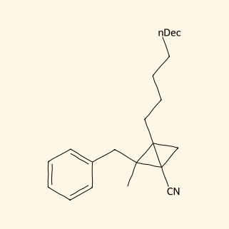 CCCCCCCCCCCCCCC12CC1(C#N)C2(C)Cc1ccccc1